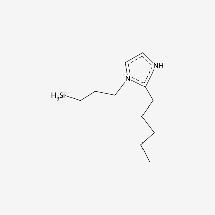 CCCCCc1[nH]cc[n+]1CCC[SiH3]